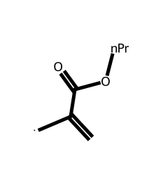 [CH2]C(=C)C(=O)OCCC